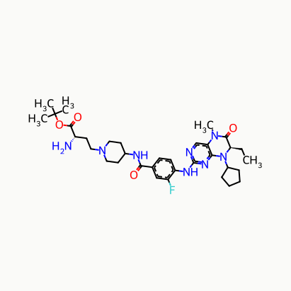 CC[C@@H]1C(=O)N(C)c2cnc(Nc3ccc(C(=O)NC4CCN(CC[C@H](N)C(=O)OC(C)(C)C)CC4)cc3F)nc2N1C1CCCC1